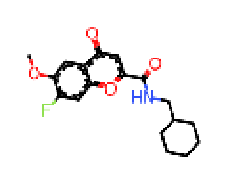 COc1cc2c(=O)cc(C(=O)NCC3CCCCC3)oc2cc1F